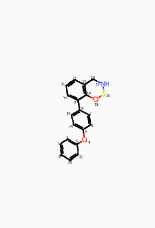 c1ccc(Oc2ccc(-c3cccc4c3OSNC4)cc2)cc1